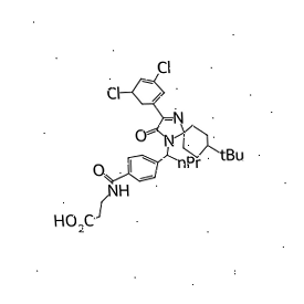 CCCC(c1ccc(C(=O)NCCC(=O)O)cc1)N1C(=O)C(C2=CC(Cl)=CC(Cl)C2)=NC12CCC(C(C)(C)C)CC2